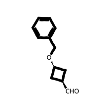 O=C[C@H]1C[C@H](OCc2ccccc2)C1